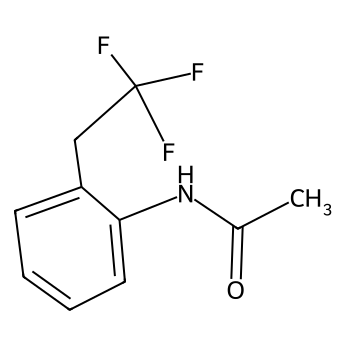 CC(=O)Nc1ccccc1CC(F)(F)F